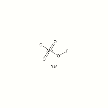 [Na+].[O]=[Mo](=[O])([O-])[O]F